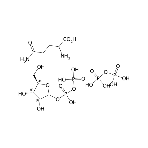 NC(=O)CCC(N)C(=O)O.O=P(O)(O)OP(=O)(O)O.O=P(O)(O)OP(=O)(O)OC1O[C@H](CO)[C@@H](O)[C@H]1O